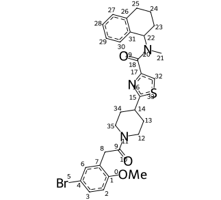 COc1ccc(Br)cc1CC(=O)N1CCC(c2nc(C(=O)N(C)C3CCCc4ccccc43)cs2)CC1